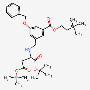 CC(C)(C)OC(=O)CC(NCc1cc(OCc2ccccc2)cc(C(=O)OCC[Si](C)(C)C)c1)C(=O)OC(C)(C)C